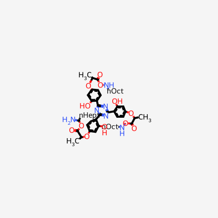 CCCCCCCCNOC(=O)C(C)Oc1ccc(-c2nc(-c3ccc(OC(C)C(=O)ONCCCCCCCC)cc3O)nc(-c3ccc(OC(C)C(=O)OC(N)CCCCCCC)cc3O)n2)c(O)c1